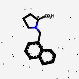 O=C(O)[C@@H]1CCCN1Cc1cccc2ccccc12